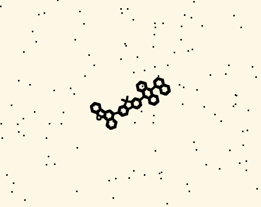 CC1(C)c2cc(-c3c4ccccc4c(-c4cccc5ccccc45)c4ccccc34)ccc2-c2ccc(-c3cc4c5ccccc5oc4c4ccccc34)cc21